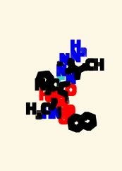 C#Cc1cn([C@@H]2O[C@H](COP(=O)(NC(C)C(=O)OCc3ccccc3)Oc3ccc4ccccc4c3)[C@@H](O)[C@@]2(C)F)c2ncnc(N)c12